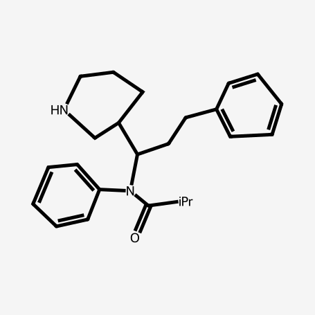 CC(C)C(=O)N(c1ccccc1)C(CCc1ccccc1)C1CCCNC1